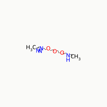 CCNCCOCCOCCOCCn1cc(C)nn1